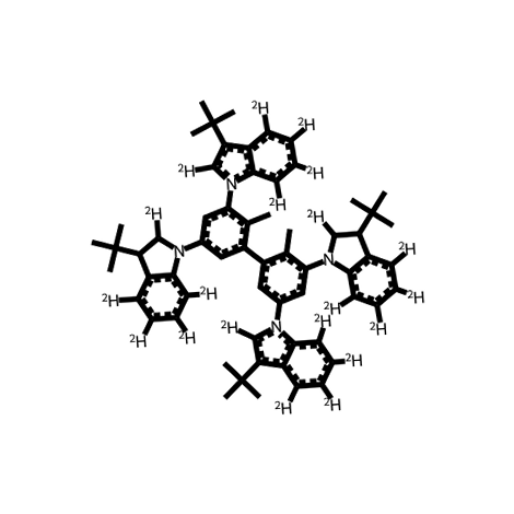 [2H]c1c([2H])c([2H])c2c(c1[2H])C(C(C)(C)C)C([2H])N2c1cc(-c2cc(-n3c([2H])c(C(C)(C)C)c4c([2H])c([2H])c([2H])c([2H])c43)cc(N3c4c([2H])c([2H])c([2H])c([2H])c4C(C(C)(C)C)C3[2H])c2C)c(C)c(-n2c([2H])c(C(C)(C)C)c3c([2H])c([2H])c([2H])c([2H])c32)c1